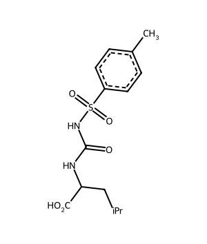 Cc1ccc(S(=O)(=O)NC(=O)NC(CC(C)C)C(=O)O)cc1